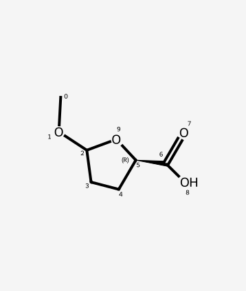 COC1CC[C@H](C(=O)O)O1